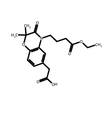 CCOC(=O)CCCN1C(=O)C(C)(C)Oc2ccc(CC(=O)O)cc21